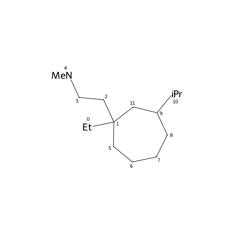 CCC1(CCNC)CCCCC(C(C)C)C1